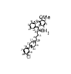 COc1ccccc1Sc1ccccc1CN(C)CCCCN1CCN(c2cccc(Cl)c2)CC1